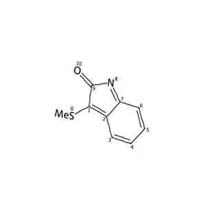 CSC1=c2ccccc2=NC1=O